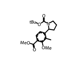 COC(=O)c1ccc(C2CCCN2C(=O)OC(C)(C)C)c(C)c1OC